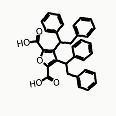 O=C(O)c1oc(C(=O)O)c(C(Cc2ccccc2)c2ccccc2)c1C(Cc1ccccc1)c1ccccc1